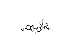 CC1(c2cc(-c3nc4ccc(Cl)cc4o3)c(F)cc2F)N=C(N)OCC1(F)F